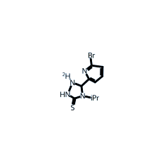 [2H]N1NC(=S)N(C(C)C)C1c1cccc(Br)n1